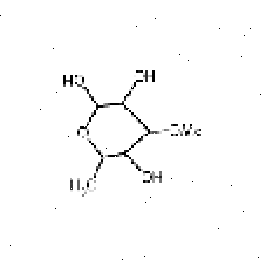 COC1C(O)C(C)OC(O)C1O